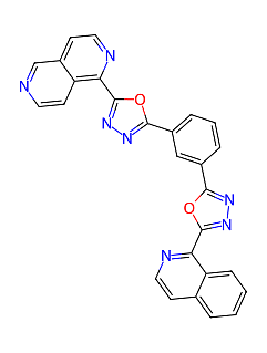 c1cc(-c2nnc(-c3nccc4ccccc34)o2)cc(-c2nnc(-c3nccc4cnccc34)o2)c1